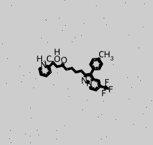 Cc1ccc(-c2c(CCCCC(=O)C[C@@](C)(O)c3ccccn3)nn3ccc(C(F)(F)F)cc23)cc1